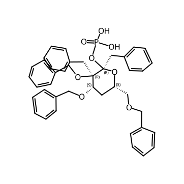 O=P(O)(O)O[C@@]1(Cc2ccccc2)O[C@H](COCc2ccccc2)C[C@H](OCc2ccccc2)[C@@]1(Cc1ccccc1)OCc1ccccc1